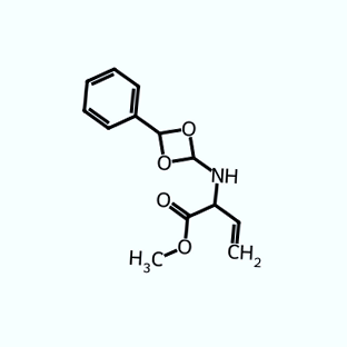 C=CC(NC1OC(c2ccccc2)O1)C(=O)OC